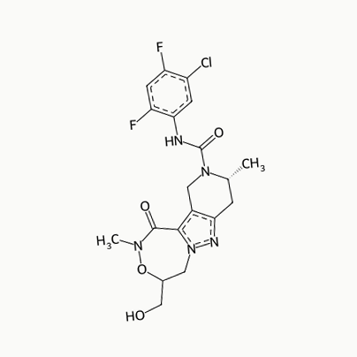 C[C@@H]1Cc2nn3c(c2CN1C(=O)Nc1cc(Cl)c(F)cc1F)C(=O)N(C)OC(CO)C3